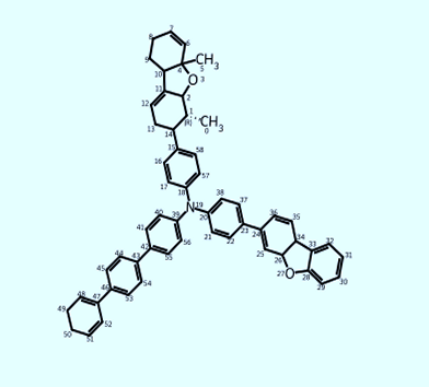 C[C@H]1C2OC3(C)C=CCCC3C2=CCC1c1ccc(N(c2ccc(C3=CC4Oc5ccccc5C4C=C3)cc2)c2ccc(-c3ccc(C4=CCCC=C4)cc3)cc2)cc1